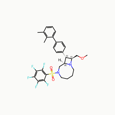 COC[C@@H]1[C@@H](c2ccc(-c3cccc(C)c3C)cc2)[C@@H]2CN(S(=O)(=O)c3c(F)c(F)c(F)c(F)c3F)CCCCN12